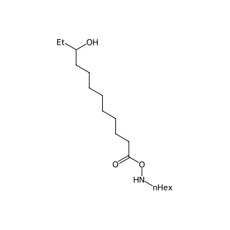 CCCCCCNOC(=O)CCCCCCCCC(O)CC